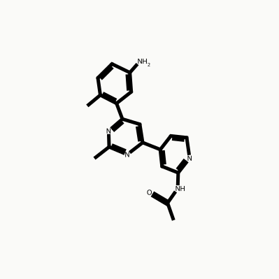 CC(=O)Nc1cc(-c2cc(-c3cc(N)ccc3C)nc(C)n2)ccn1